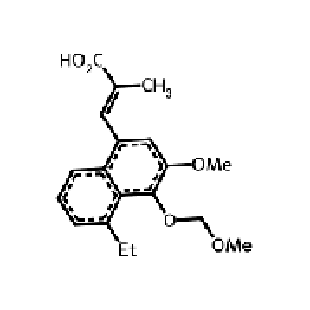 CCc1cccc2c(C=C(C)C(=O)O)cc(OC)c(OCOC)c12